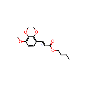 CCCCOC(=O)/C=C/c1ccc(OC)c(OC)c1OC